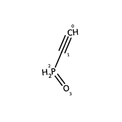 C#C[PH2]=O